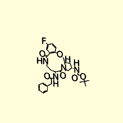 CC(C)(C)OC(=O)N[C@H]1C[C@H]2COc3ccc(F)cc3C(=O)NCC[C@H](NC(=O)Cc3ccccc3)C(=O)N2C1